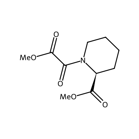 COC(=O)C(=O)N1CCCC[C@H]1C(=O)OC